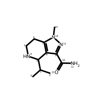 CC(C)C1NCCc2c1c(C(N)=O)nn2C